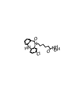 O=C(CCCCCN1C(=O)c2ccccc2Nc2ccc(Cl)cc21)NO